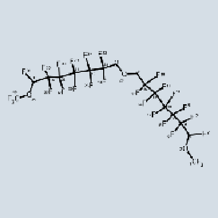 FC(OC(F)(F)F)C(F)(F)C(F)(F)C(F)(F)C(F)(F)C(F)(F)COCC(F)(F)C(F)(F)C(F)(F)C(F)(F)C(F)(F)C(F)OC(F)(F)F